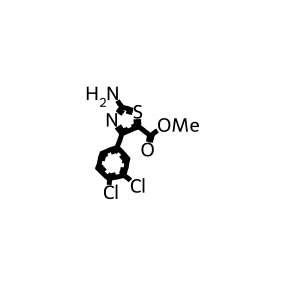 COC(=O)c1sc(N)nc1-c1ccc(Cl)c(Cl)c1